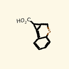 O=C(O)C1C2=C3C=CC=CC3SCC21